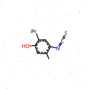 Cc1cc(O)c(C(C)C)cc1N=C=S